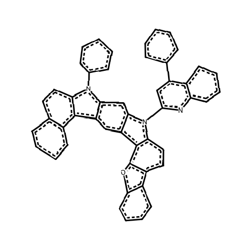 c1ccc(-c2cc(-n3c4cc5c(cc4c4c6oc7ccccc7c6ccc43)c3c4ccccc4ccc3n5-c3ccccc3)nc3ccccc23)cc1